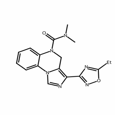 CCc1nc(-c2ncn3c2CN(C(=O)N(C)C)c2ccccc2-3)no1